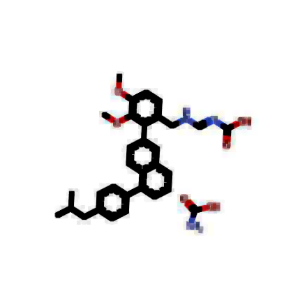 COc1ccc(CNC=NC(=O)O)c(-c2ccc3c(-c4ccc(CC(C)C)cc4)cccc3c2)c1OC.NC(=O)O